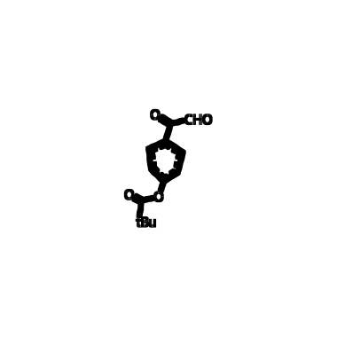 CC(C)(C)C(=O)Oc1ccc(C(=O)C=O)cc1